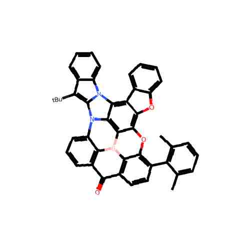 Cc1cccc(C)c1-c1ccc2c3c1Oc1c4c5c(c6c1oc1ccccc16)n1c6ccccc6c(C(C)(C)C)c1n5-c1cccc(c1B34)C2=O